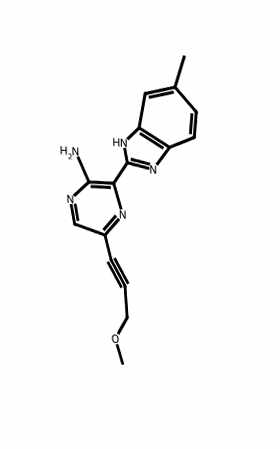 COCC#Cc1cnc(N)c(-c2nc3ccc(C)cc3[nH]2)n1